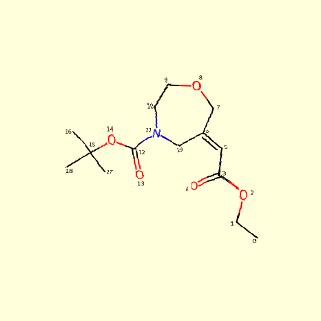 CCOC(=O)/C=C1/COCCN(C(=O)OC(C)(C)C)C1